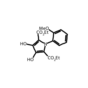 CCOC(=O)c1c(O)c(O)c(C(=O)OCC)n1-c1ccccc1OC